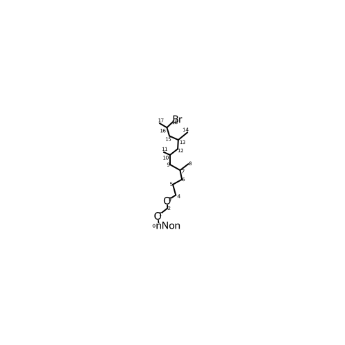 CCCCCCCCCOCOCCCC(C)CC(C)CC(C)CC(C)Br